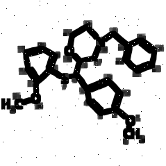 COc1ccc([C@H](Sc2ccccc2OC)[C@@H]2CN(Cc3ccccc3)CCO2)cc1